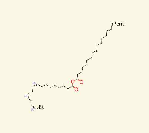 CC/C=C\C/C=C\C/C=C\CCCCCCCC(=O)OC(=O)CCCC=CCC=CCC=CCC=CCCCCC